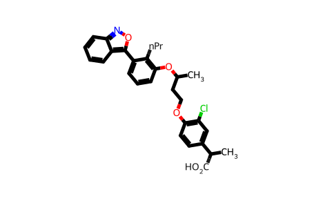 CCCc1c(OC(C)CCOc2ccc(C(C)C(=O)O)cc2Cl)cccc1-c1onc2ccccc12